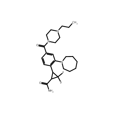 CCCN1CCN(C(=O)c2ccc(C3C(C(N)=O)C3(F)F)c(N3CCCCCC3)c2)CC1